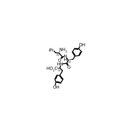 CC(C)C[C@H](N)C(=O)N[C@@H](Cc1ccc(O)cc1)C(=O)N[C@@H](Cc1ccc(O)cc1)C(=O)O